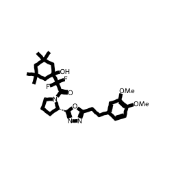 COc1ccc(CCc2nnc([C@@H]3CCCN3C(=O)C(F)(F)C3(O)CC(C)(C)CC(C)(C)C3)o2)cc1OC